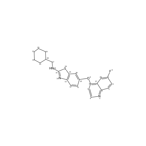 Fc1ccc2nccc(Oc3ccc4nc(NCC5CCCCC5)sc4c3)c2c1